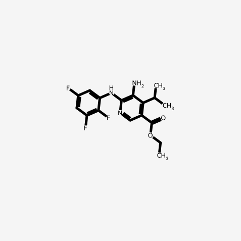 CCOC(=O)c1cnc(Nc2cc(F)cc(F)c2F)c(N)c1C(C)C